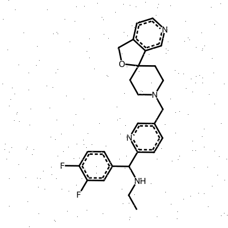 CCNC(c1ccc(F)c(F)c1)c1ccc(CN2CCC3(CC2)OCc2ccncc23)cn1